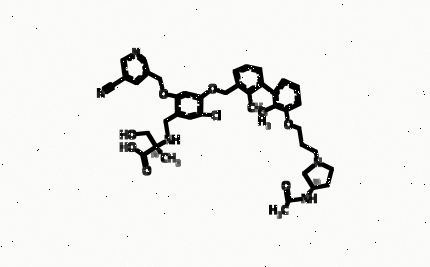 CC(=O)N[C@@H]1CCN(CCCOc2cccc(-c3cccc(COc4cc(OCc5cncc(C#N)c5)c(CN[C@@](C)(CO)C(=O)O)cc4Cl)c3C)c2C)C1